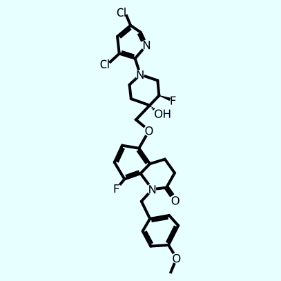 COc1ccc(CN2C(=O)CCc3c(OC[C@@]4(O)CCN(c5ncc(Cl)cc5Cl)C[C@H]4F)ccc(F)c32)cc1